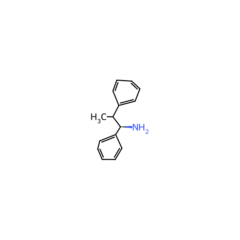 CC(c1ccccc1)[C@@H](N)c1ccccc1